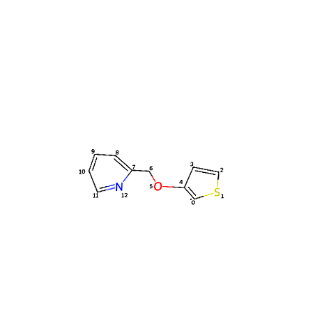 [c]1sccc1OCc1ccccn1